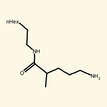 CCCCCCCCNC(=O)C(C)CCCN